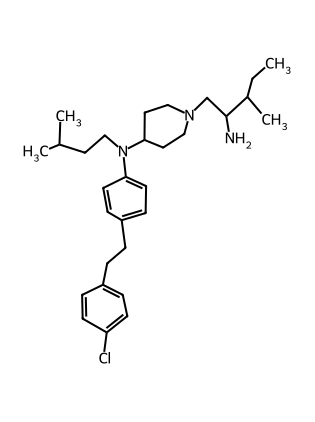 CCC(C)C(N)CN1CCC(N(CCC(C)C)c2ccc(CCc3ccc(Cl)cc3)cc2)CC1